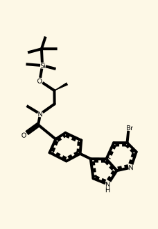 C[C@@H](CN(C)C(=O)c1ccc(-c2c[nH]c3ncc(Br)cc23)cc1)O[Si](C)(C)C(C)(C)C